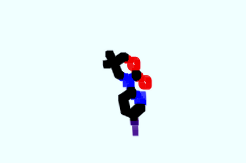 CC1(C)COC(=O)N(c2ccc(I)cn2)C1